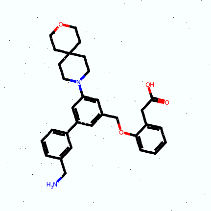 NCc1cccc(-c2cc(COc3ccccc3CC(=O)O)cc(N3CCC4(CCOCC4)CC3)c2)c1